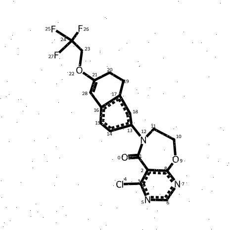 O=C1c2c(Cl)ncnc2OCCN1c1ccc2c(c1)CCC(OCC(F)(F)F)=C2